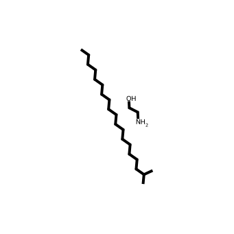 CCCCCCCCCCCCCCCCCC(C)C.NCCO